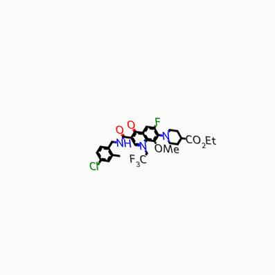 CCOC(=O)C1CCN(c2c(F)cc3c(=O)c(C(=O)NCc4ccc(Cl)cc4C)cn(CC(F)(F)F)c3c2OC)CC1